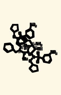 CC(C)(C)N(C(=O)O[C@@](N)(Cc1ccccc1)[C@H](O)CN(OC1CCCC1)S(=O)(=O)c1cccc([N+](=O)[O-])c1)[C@@H](Cc1ccccc1)[C@@H](O)CN(OC1CCCC1)S(=O)(=O)c1cccc([N+](=O)[O-])c1